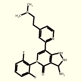 CN(C)CCc1ccnc(-c2cn(-c3c(F)cccc3F)c(=O)c3c2NNC3N)c1